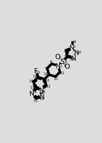 Cn1cc(S(=O)(=O)N2CCC(c3cn4ncnc4cc3F)CC2)nn1